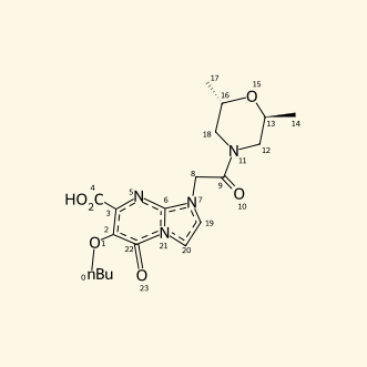 CCCCOc1c(C(=O)O)nc2n(CC(=O)N3C[C@H](C)O[C@@H](C)C3)ccn2c1=O